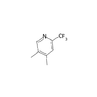 Cc1cnc(C(F)(F)F)cc1C